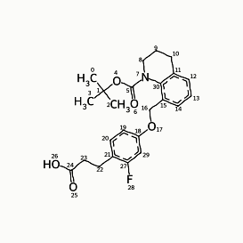 CC(C)(C)OC(=O)N1CCCc2cccc(COc3ccc(CCC(=O)O)c(F)c3)c21